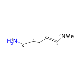 CN/C=C/CCCN